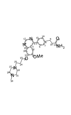 COc1cc2c(-c3ccc(CCC(N)=O)cc3)ncnc2cc1OCCCN1CCN(C)CC1